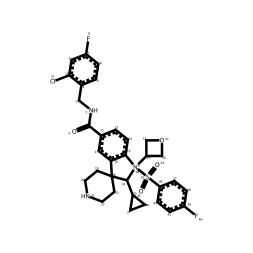 O=C(NCc1ccc(F)cc1Cl)c1ccc2c(c1)C1(CCNCC1)C(C1CC1)[N+]2(C1COC1)S(=O)(=O)c1ccc(F)cc1